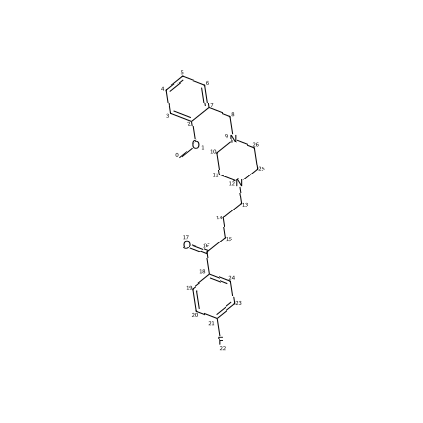 COc1ccccc1CN1CCN(CCCC(=O)c2ccc(F)cc2)CC1